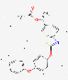 CC(=O)OC(C)c1ccc2nc(Oc3ccc(Oc4ccccc4)cc3)sc2c1